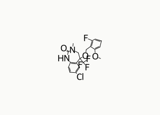 COc1cccc(F)c1COC1(C(F)(F)F)CN(C)C(=O)Nc2ccc(Cl)cc21